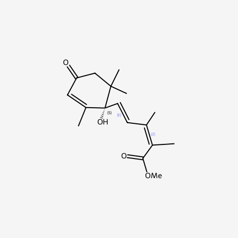 COC(=O)/C(C)=C(C)\C=C\[C@@]1(O)C(C)=CC(=O)CC1(C)C